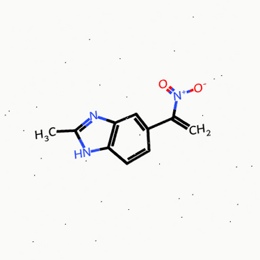 C=C(c1ccc2[nH]c(C)nc2c1)[N+](=O)[O-]